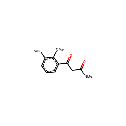 CNC(=O)CC(=O)c1cccc(OC)c1OC